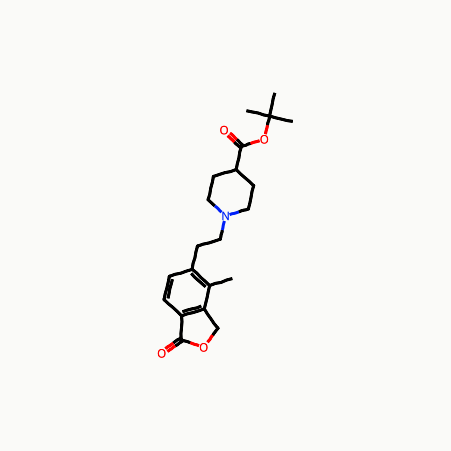 Cc1c(CCN2CCC(C(=O)OC(C)(C)C)CC2)ccc2c1COC2=O